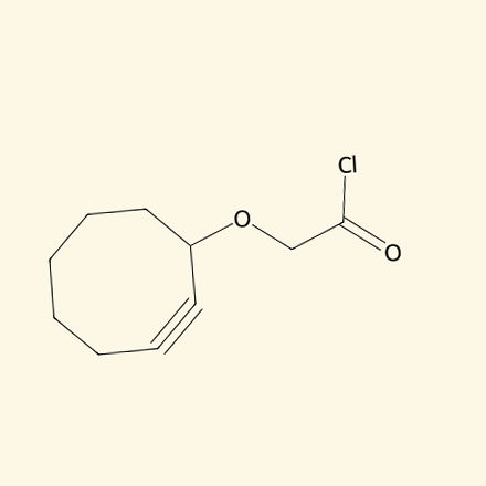 O=C(Cl)COC1C#CCCCCC1